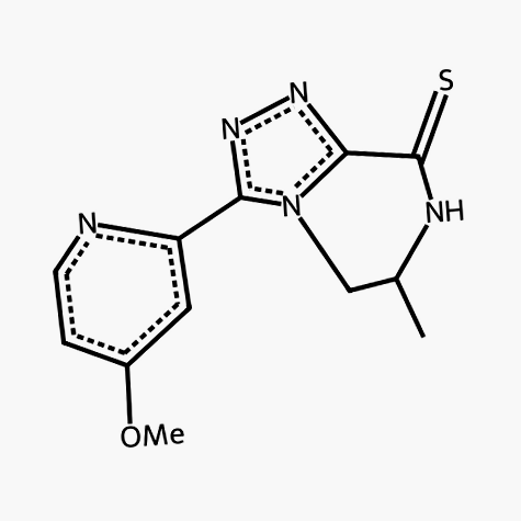 COc1ccnc(-c2nnc3n2CC(C)NC3=S)c1